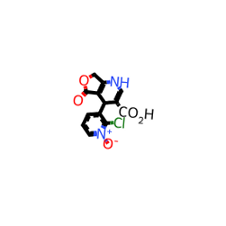 O=C(O)C1=CNC2=C(C(=O)OC2)C1c1ccc[n+]([O-])c1Cl